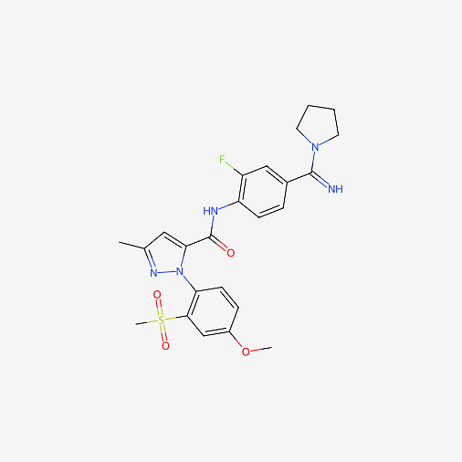 COc1ccc(-n2nc(C)cc2C(=O)Nc2ccc(C(=N)N3CCCC3)cc2F)c(S(C)(=O)=O)c1